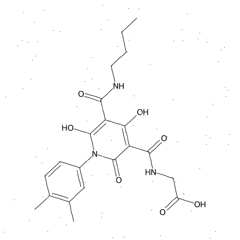 CCCCNC(=O)c1c(O)c(C(=O)NCC(=O)O)c(=O)n(-c2ccc(C)c(C)c2)c1O